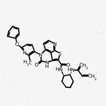 C=CC(=C)N[C@@H]1CCCC[C@H]1NC(=O)c1sc2nccc3c2c1NC(=O)N3c1ccc(Oc2ccccc2)nc1C